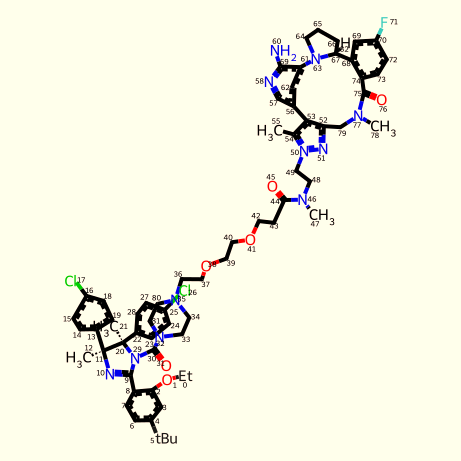 CCOc1cc(C(C)(C)C)ccc1C1=N[C@@](C)(c2ccc(Cl)cc2)[C@@](C)(c2ccc(Cl)cc2)N1C(=O)N1CCN(CCOCCOCCC(=O)N(C)CCn2nc3c(c2C)-c2cnc(N)c(c2)N2CCC[C@@H]2c2cc(F)ccc2C(=O)N(C)C3)CC1